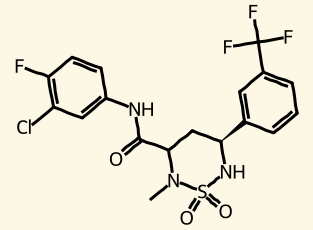 CN1C(C(=O)Nc2ccc(F)c(Cl)c2)C[C@@H](c2cccc(C(F)(F)F)c2)NS1(=O)=O